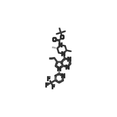 C=Cc1cn(-c2cc(C(F)(F)F)ccn2)c2ncnc(N3C[C@H](C)N(C(=O)OC(C)(C)C)CC3C)c12